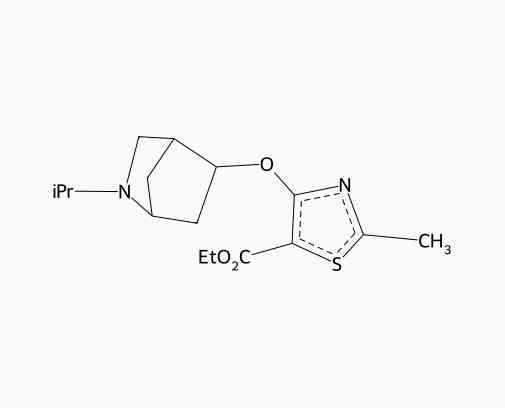 CCOC(=O)c1sc(C)nc1OC1CC2CC1CN2C(C)C